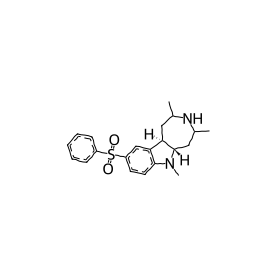 CC1C[C@@H]2c3cc(S(=O)(=O)c4ccccc4)ccc3N(C)[C@H]2CC(C)N1